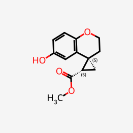 COC(=O)[C@H]1C[C@]12CCOc1ccc(O)cc12